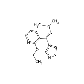 CCOc1ncccc1/C(=N\N(C)C)n1ccnc1